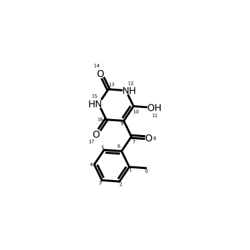 Cc1ccccc1C(=O)c1c(O)[nH]c(=O)[nH]c1=O